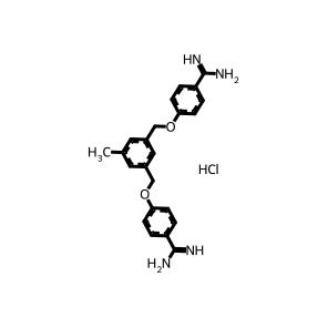 Cc1cc(COc2ccc(C(=N)N)cc2)cc(COc2ccc(C(=N)N)cc2)c1.Cl